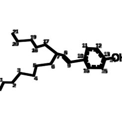 CCCCCCCC(C=Cc1ccc(O)cc1)CCCCC